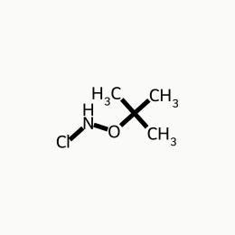 CC(C)(C)ONCl